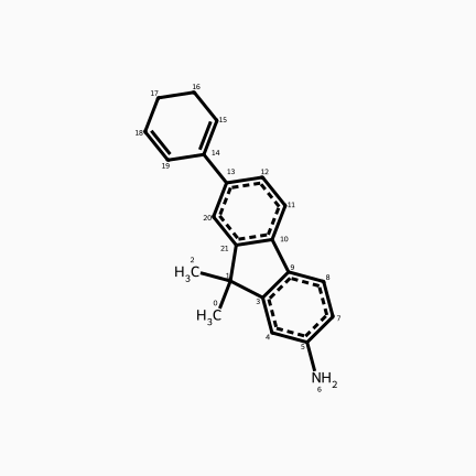 CC1(C)c2cc(N)ccc2-c2ccc(C3=CCCC=C3)cc21